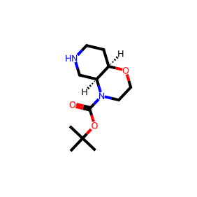 CC(C)(C)OC(=O)N1CCO[C@@H]2CCNC[C@@H]21